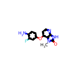 Cn1c(=O)[nH]c2nccc(Oc3ccc(N)c(F)c3)c21